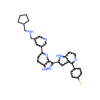 Fc1ccc(-c2nccc3[nH]c(-c4n[nH]c5ccc(-c6cncc(CNCC7CCCC7)c6)nc45)cc23)cc1